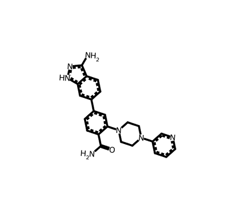 NC(=O)c1ccc(-c2ccc3c(N)n[nH]c3c2)cc1N1CCN(c2cccnc2)CC1